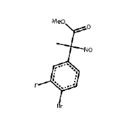 COC(=O)C(C)(N=O)c1ccc(Br)c(F)c1